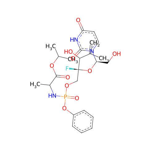 C=C(C)C(O)[C@@](F)(COP(=O)(NC(C)C(=O)OC(C)C)Oc1ccccc1)O[C@H](CO)n1ccc(=O)[nH]c1=O